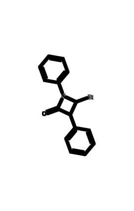 CCC1C(c2ccccc2)C(=O)N1c1ccccc1